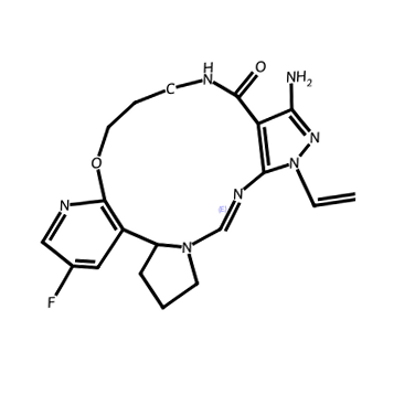 C=Cn1nc(N)c2c1/N=C/N1CCCC1c1cc(F)cnc1OCCCNC2=O